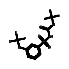 CC(C)(C)OC(=O)NS(=O)(=O)c1cccc(OC(F)(F)F)c1